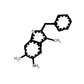 Cc1cc2oc(Cc3ccccc3)c(C)c2cc1N